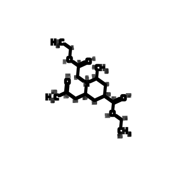 CCOC(=O)CN1C(C)CC(C(=O)OCC)CC1CC(C)=O